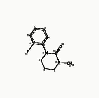 C[C@@H]1CCCN(c2ccccc2F)C1=O